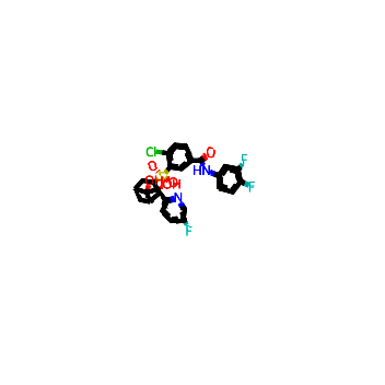 O=C(Nc1ccc(F)c(F)c1)c1ccc(Cl)c(S(=O)(=O)C2CC3CC(C2)C3(O)[C@@H](O)c2ccc(F)cn2)c1